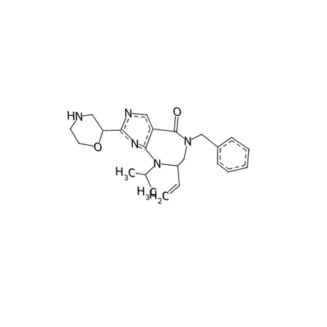 C=CC1CN(Cc2ccccc2)C(=O)c2cnc(C3CNCCO3)nc2N1C(C)C